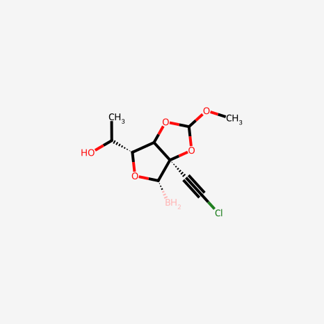 B[C@@H]1O[C@H](C(C)O)C2OC(OC)O[C@]21C#CCl